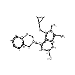 Cc1c(C)n(CC2CC2)c2c(N3CCc4ccccc4C3)nc(Cl)cc12